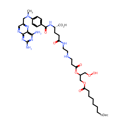 CCCCCCCCCCCCCCCCC(=O)OCC(COO)OC(=O)CCNCCNC(=O)CC[C@H](NC(=O)c1ccc(N(C)Cc2cnc3nc(N)nc(N)c3n2)cc1)C(=O)O